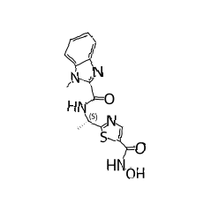 C[C@H](NC(=O)c1nc2ccccc2n1C)c1ncc(C(=O)NO)s1